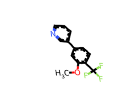 COc1cc(-c2cccnc2)ccc1C(F)(F)F